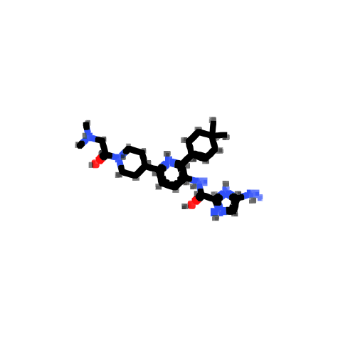 CN(C)CC(=O)N1CCC(c2ccc(NC(=O)c3nc(N)c[nH]3)c(C3=CCC(C)(C)CC3)n2)CC1